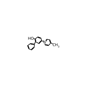 Cc1cc[n+](-c2ccc(O)c(-c3ccccc3)c2)cc1